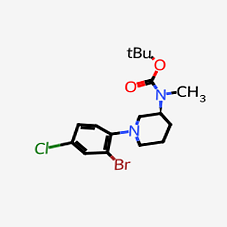 CN(C(=O)OC(C)(C)C)[C@H]1CCCN(c2ccc(Cl)cc2Br)C1